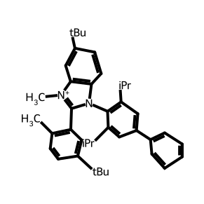 Cc1ccc(C(C)(C)C)cc1-c1n(-c2c(C(C)C)cc(-c3ccccc3)cc2C(C)C)c2ccc(C(C)(C)C)cc2[n+]1C